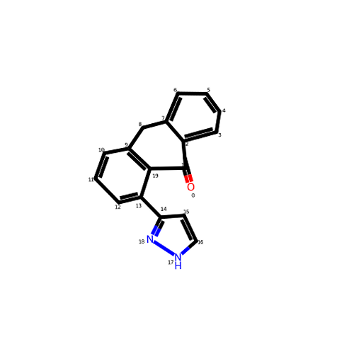 O=C1c2ccccc2Cc2cccc(-c3cc[nH]n3)c21